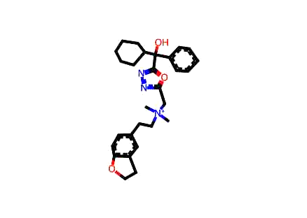 C[N+](C)(CCc1ccc2c(c1)CCO2)Cc1nnc(C(O)(c2ccccc2)C2CCCCC2)o1